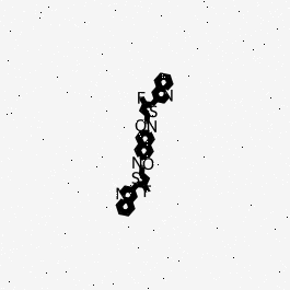 Fc1cc(-c2nc3cc4cc5oc(-c6cc(F)c(-c7cnc8ccccc8c7)s6)nc5cc4cc3o2)sc1-c1cnc2ccccc2c1